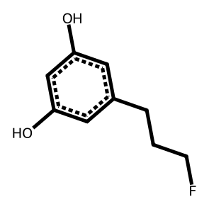 Oc1cc(O)cc(CCCF)c1